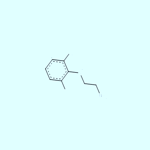 Cc1cccc(C)c1SCCN